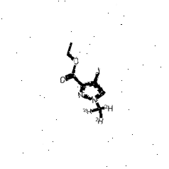 [2H]C([2H])([2H])n1cc(I)c(C(=O)OCC)n1